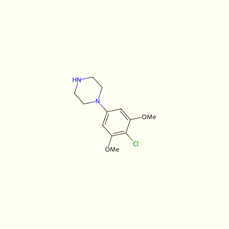 COc1cc(N2CCNCC2)cc(OC)c1Cl